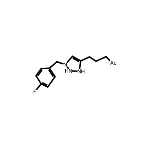 CC(=O)CCCC1=CN(Cc2ccc(F)cc2)NN1